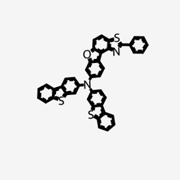 c1ccc(-c2nc3c(ccc4oc5cc(N(c6ccc7c(c6)sc6ccccc67)c6ccc7c(c6)sc6ccccc67)ccc5c43)s2)cc1